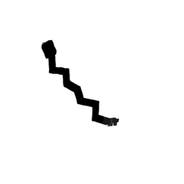 [C]#CCCCCCCCC(C)C